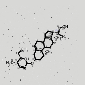 CC[C@H]1OC(O[C@H]2CC[C@@]3(C)C(=CCC4C3CC[C@@]3(C)C4CC[C@@H]3/C(C)=N/O)C2)C=C[C@@H]1C